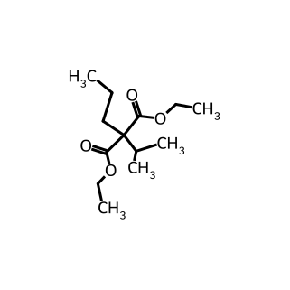 CCCC(C(=O)OCC)(C(=O)OCC)C(C)C